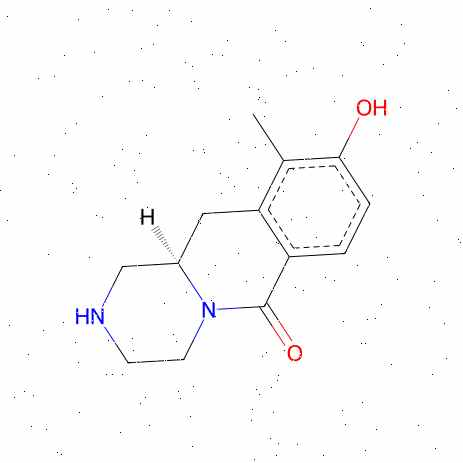 Cc1c(O)ccc2c1C[C@@H]1CNCCN1C2=O